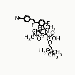 CN(C)C(=O)[C@]12C[C@H]1[C@@](C)(c1cc(/C(F)=C/c3ccc(C#N)cc3)ccc1F)N=C(N(COCC[Si](C)(C)C)C(=O)O)S2